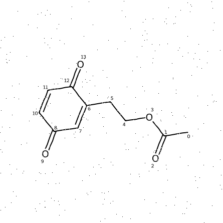 CC(=O)OCCC1=CC(=O)C=CC1=O